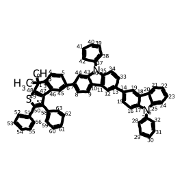 CC1(C)c2ccc(-c3ccc4c5cc(-c6ccc7c(c6)c6ccccc6n7-c6ccccc6)ccc5n(-c5ccccc5)c4c3)cc2-c2c1sc(-c1ccccc1)c2-c1ccccc1